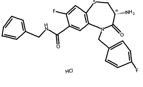 Cl.N[C@H]1CSc2cc(F)c(C(=O)NCc3ccccc3)cc2N(Cc2ccc(F)cc2)C1=O